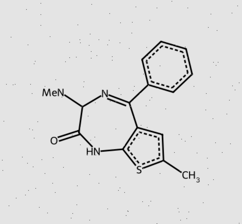 CNC1N=C(c2ccccc2)c2cc(C)sc2NC1=O